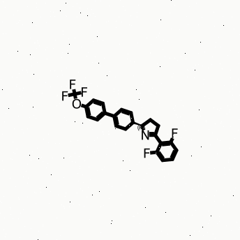 Fc1cccc(F)c1C1=N[C@@H](C2C=CC(c3ccc(OC(F)(F)F)cc3)=CC2)CC1